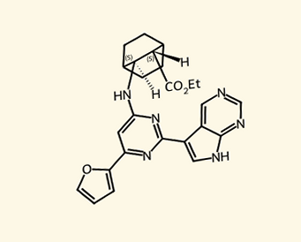 CCOC(=O)[C@H]1C2CCC(CC2)[C@@H]1Nc1cc(-c2ccco2)nc(-c2c[nH]c3ncncc23)n1